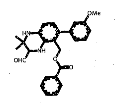 COc1cccc(-c2ccc3c(c2COC(=O)c2ccccc2)NC(C=O)C(C)(C)N3)c1